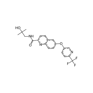 CC(C)(O)CNC(=O)c1ccc2cc(Oc3ccc(C(F)(F)F)nc3)ccc2n1